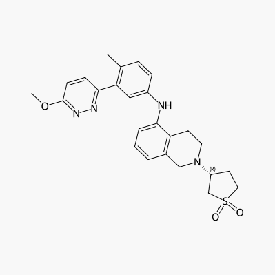 COc1ccc(-c2cc(Nc3cccc4c3CCN([C@@H]3CCS(=O)(=O)C3)C4)ccc2C)nn1